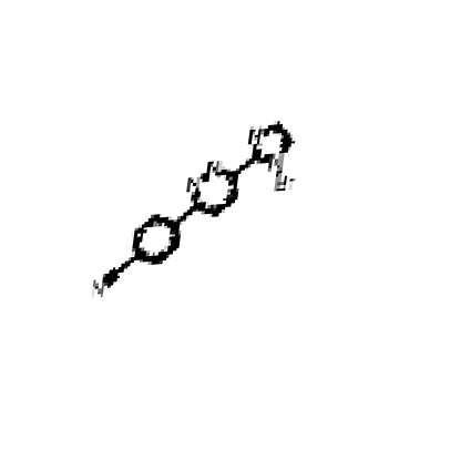 N#Cc1ccc(-c2ccc(-c3nccn3Br)nn2)cc1